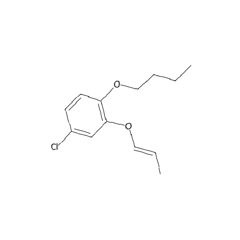 CC=COc1cc(Cl)ccc1OCCCC